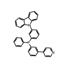 c1ccc(P(c2cccc(-c3ccncc3)c2)c2cccc(-n3c4ccccc4c4ccccc43)c2)cc1